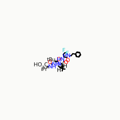 CC(C)[C@H](NC(=O)N[C@H](C(=O)N1C[C@H]2[C@@H]([C@H]1C(=O)NC(CC(F)F)C(=O)NCCc1ccccc1)C2(C)C)C(C)(C)C)C(=O)O